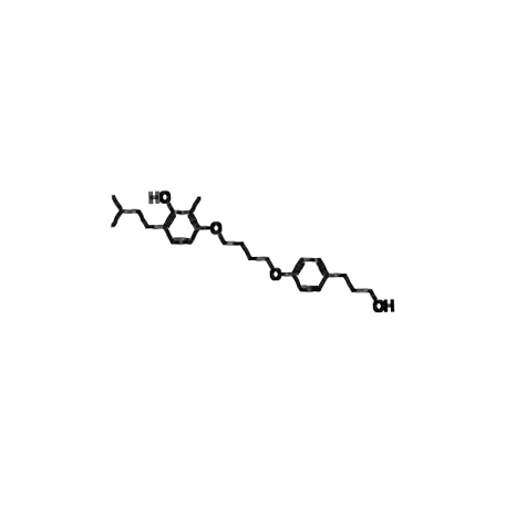 Cc1c(OCCCCOc2ccc(CCCO)cc2)ccc(CCC(C)C)c1O